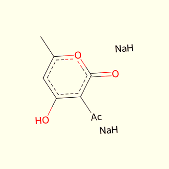 CC(=O)c1c(O)cc(C)oc1=O.[NaH].[NaH]